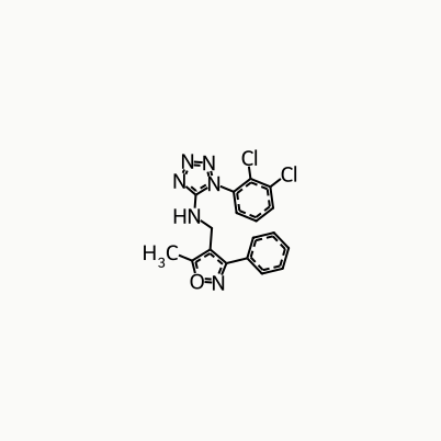 Cc1onc(-c2ccccc2)c1CNc1nnnn1-c1cccc(Cl)c1Cl